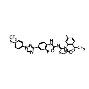 COC(c1ccc(C)cc1N1C(=O)CSC1=NC(=O)Nc1ccc(-c2ncn(-c3ccc(SC(F)(F)F)cc3)n2)cc1F)C(F)(F)F